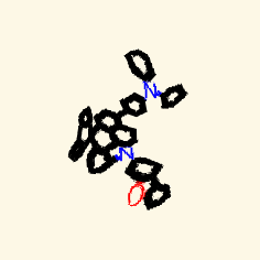 c1ccc(N(c2ccccc2)c2ccc(-c3ccc4c5c3ccc3c5c5c(cccc5n3-c3ccc5c(c3)oc3ccccc35)C43c4ccccc4-c4ccccc43)cc2)cc1